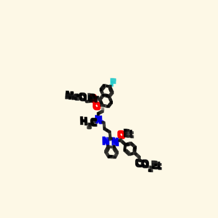 CCOC(=O)Cc1ccc(C(OCC)n2c(CCCN(C)CC[C@@]3(OC(=O)COC)CCc4cc(F)ccc4[C@@H]3C(C)C)nc3ccccc32)cc1